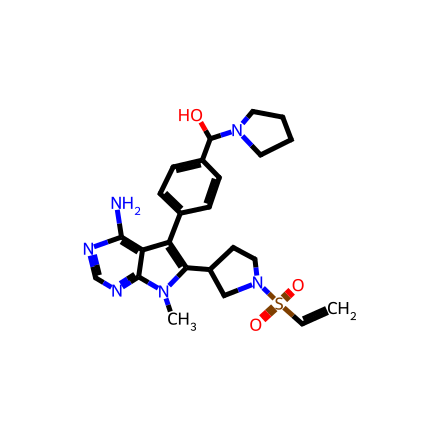 C=CS(=O)(=O)N1CCC(c2c(-c3ccc(C(O)N4CCCC4)cc3)c3c(N)ncnc3n2C)C1